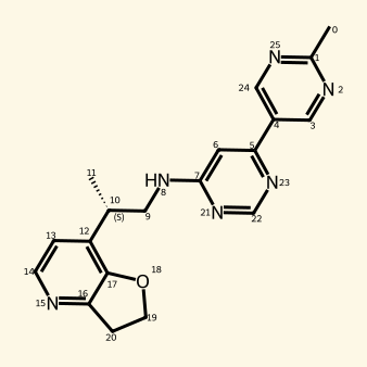 Cc1ncc(-c2cc(NC[C@@H](C)c3ccnc4c3OCC4)ncn2)cn1